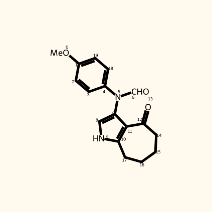 COc1ccc(N(C=O)c2c[nH]c3c2C(=O)CCCC3)cc1